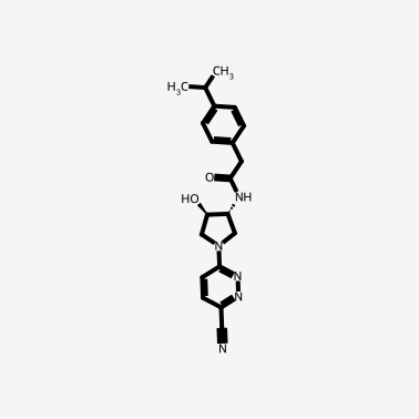 CC(C)c1ccc(CC(=O)N[C@@H]2CN(c3ccc(C#N)nn3)C[C@H]2O)cc1